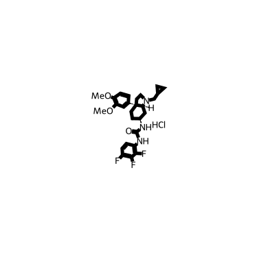 COc1ccc([C@@]23CC[C@@H](NC(=O)Nc4ccc(F)c(F)c4F)C[C@@H]2N(CC2CC2)CC3)cc1OC.Cl